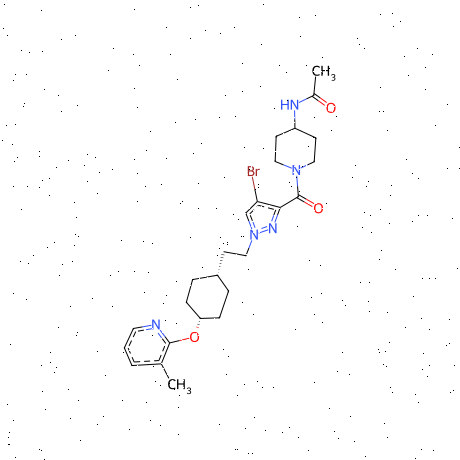 CC(=O)NC1CCN(C(=O)c2nn(CC[C@H]3CC[C@@H](Oc4ncccc4C)CC3)cc2Br)CC1